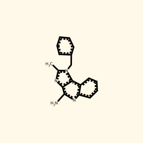 Cc1nc2c(N)nc3ccccc3c2n1Cc1ccccc1